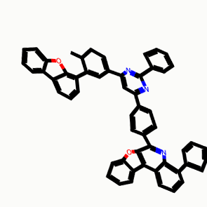 CC1CC=C(c2cc(-c3ccc(-c4nc5c(-c6ccccc6)cccc5c5c4oc4ccccc45)cc3)nc(-c3ccccc3)n2)C=C1c1cccc2c1oc1ccccc12